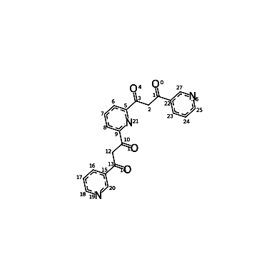 O=C(CC(=O)c1cccc(C(=O)CC(=O)c2cccnc2)n1)c1cccnc1